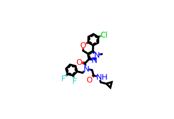 Cn1nc(C(=O)N(CC(=O)NCC2CC2)Cc2cccc(F)c2F)c2c1-c1cc(Cl)ccc1OC2